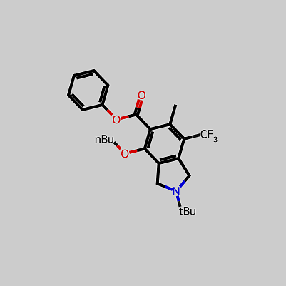 CCCCOc1c2c(c(C(F)(F)F)c(C)c1C(=O)Oc1ccccc1)CN(C(C)(C)C)C2